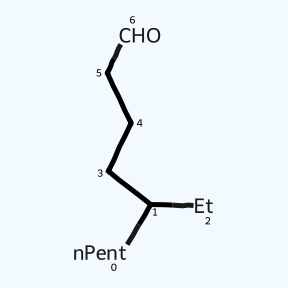 CCCCCC(CC)CCCC=O